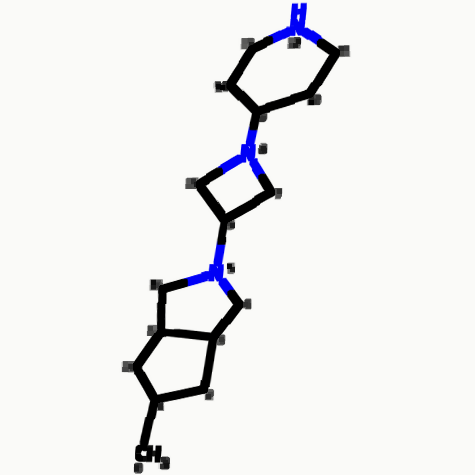 CC1CC2CN(C3CN(C4CCNCC4)C3)CC2C1